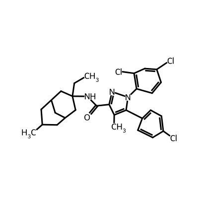 CCC1(NC(=O)c2nn(-c3ccc(Cl)cc3Cl)c(-c3ccc(Cl)cc3)c2C)CC2CC(C)CC(C2)C1